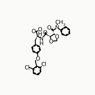 CN(C(=O)[C@@H]1OCO[C@H]1C(=O)N[C@@H](Cc1ccc(OCc2c(Cl)cccc2Cl)cc1)C(=O)O)c1ccccc1